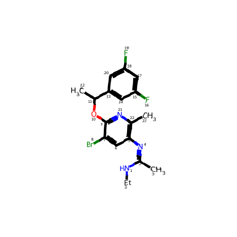 CCNC(C)=Nc1cc(Br)c(OC(C)c2cc(F)cc(F)c2)nc1C